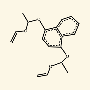 C=COC(C)Oc1ccc(OC(C)OC=C)c2ccccc12